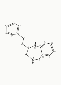 c1ccc(CCC2CNCc3ccccc3N2)cc1